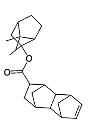 CC1(OC(=O)C2CC3CC2C2C4C=CC(C4)C32)CC2CCC1C2(C)C